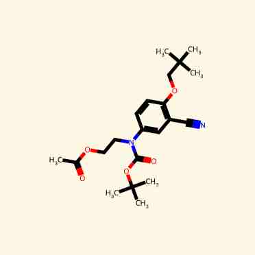 CC(=O)OCCN(C(=O)OC(C)(C)C)c1ccc(OCC(C)(C)C)c(C#N)c1